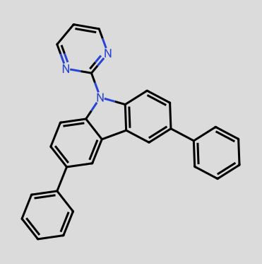 c1ccc(-c2ccc3c(c2)c2cc(-c4ccccc4)ccc2n3-c2ncccn2)cc1